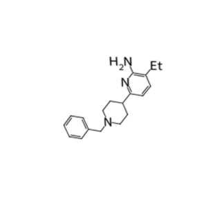 CCc1ccc(C2CCN(Cc3ccccc3)CC2)nc1N